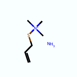 C=CCS[N+](C)(C)C.N